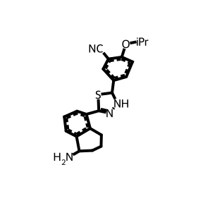 CC(C)Oc1ccc(C2NN=C(c3cccc4c3CCCC4N)S2)cc1C#N